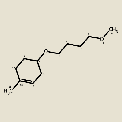 COCCCCOC1CC=C(C)CC1